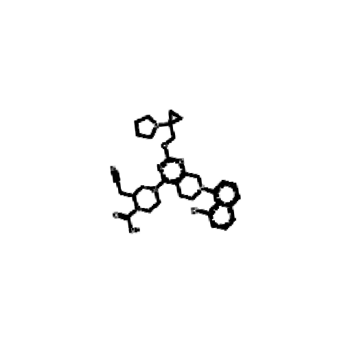 N#CCC1CN(c2nc(OCC3(N4CCCC4)CC3)nc3c2CCN(c2cccc4cccc(Cl)c24)C3)CCN1C(=O)O